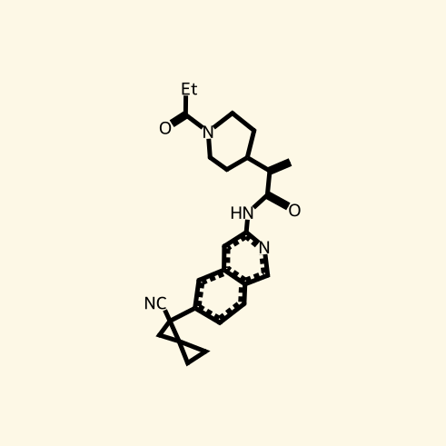 C=C(C(=O)Nc1cc2cc(C3(C#N)CC34CC4)ccc2cn1)C1CCN(C(=O)CC)CC1